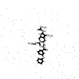 CC(=O)OCOC(=O)N1Cc2sc(NC(=O)C(=O)O)c(C(=O)O)c2C[C@H]1CNC(=O)c1cccc(Oc2ccccc2)c1